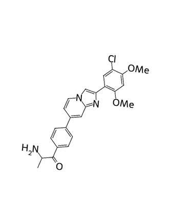 COc1cc(OC)c(-c2cn3ccc(-c4ccc(C(=O)C(C)N)cc4)cc3n2)cc1Cl